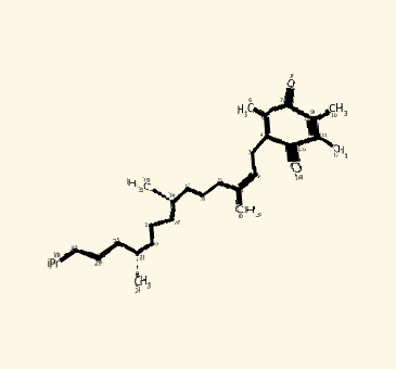 CC(=CCC1=C(C)C(=O)C(C)=C(C)C1=O)CCC[C@H](C)CCC[C@H](C)CCCC(C)C